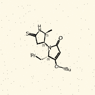 CC(C)C[C@H]1C(OC(C)(C)C)=CC(=O)N1[C@H]1CC(=S)N[C@H]1C